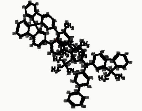 Cc1cc(-c2ccc3c(c2)C2(c4ccccc4-c4ccc(-c5ccc(C(CC(C)(C)C)C(C)(C)C)cc5)cc42)c2ccccc2-3)c(C)cc1-c1ccc(N(c2ccc(-c3ccccc3)cc2)c2ccc3c(c2)C(C)(C)c2ccccc2-3)cc1